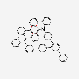 c1ccc(-c2ccc(-c3ccc(N(c4ccc(-c5cccc6c5c(-c5ccccc5)c(-c5ccccc5)c5ccccc56)cc4)c4ccccc4-c4ccccc4)cc3)c(-c3ccccc3)c2)cc1